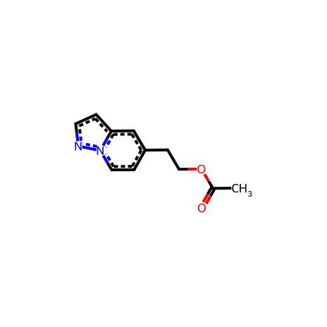 CC(=O)OCCc1ccn2nccc2c1